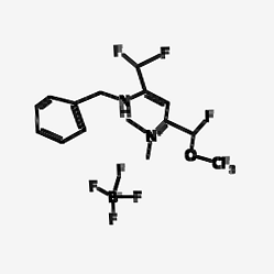 C[N+](C)=C(/C=C(\NCc1ccccc1)C(F)F)C(F)OC(F)(F)F.F[B-](F)(F)F